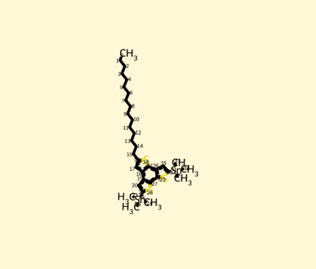 CCCCCCCCCCCCCCCCc1cc2c3c[c]([Sn]([CH3])([CH3])[CH3])sc3c3s[c]([Sn]([CH3])([CH3])[CH3])cc3c2s1